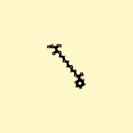 CCCCC(CC)C(=O)OCCOCCOCCOC(=O)c1ccccc1